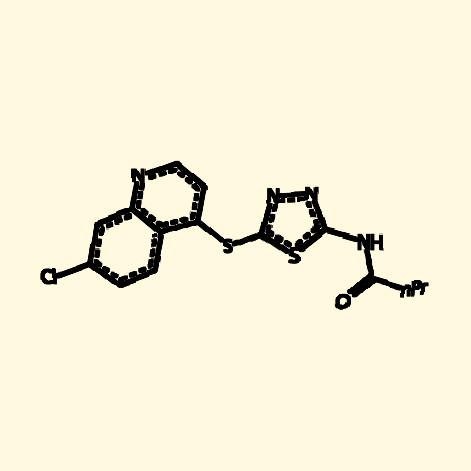 CCCC(=O)Nc1nnc(Sc2ccnc3cc(Cl)ccc23)s1